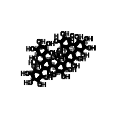 Bc1c(-c2c(O)c(O)c(O)c(O)c2O)c(O)c(-c2c(O)c(O)c(O)c(-c3c(O)c(O)c4c5c(O)c(O)c(O)c(O)c5c5c(O)c(O)c(O)c(O)c5c4c3O)c2O)c(O)c1-c1c(O)c(O)c(O)c(O)c1O